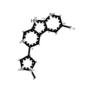 Cn1cc(-c2cc3c(cn2)[nH]c2ncc(F)cc23)cn1